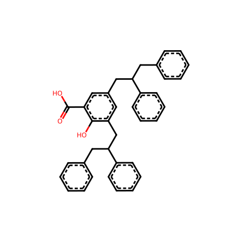 O=C(O)c1cc(CC(Cc2ccccc2)c2ccccc2)cc(CC(Cc2ccccc2)c2ccccc2)c1O